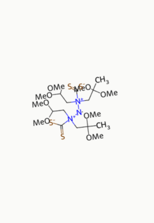 COC(C[N+](CC(C)(OC)OC)([N][N+](CC(OC)OC)(CC(C)(OC)OC)C(=S)[S-])C(=S)[S-])OC